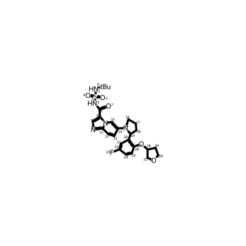 CC(C)(C)NS(=O)(=O)NC(=O)c1cnc2ccc(N3CCCC3c3cc(F)ccc3OC3CCOC3)cn12